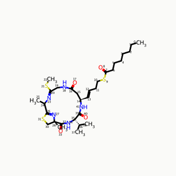 CCCCCCCC(=O)SCC/C=C/[C@@H]1CC(=O)NC/C(SC)=N/C(C)C2=N[C@@](C)(CS2)C(=O)N[C@@H](C(C)C)C(=O)N1